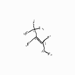 FOC(F)=C(F)C(F)(F)F